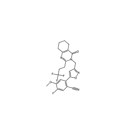 COc1cc(-c2cc(Cn3c(CCC(F)(F)F)nc4c(c3=O)CCCC4)no2)c(C#N)cc1F